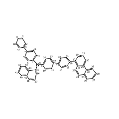 c1ccc(-c2ccc(N(c3ccc(-c4ccc(-c5cccc6c5ccc5ccccc56)cc4)cc3)c3cccc4ccccc34)cc2)cc1